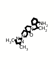 C=C(CN1CCCC2(CCN(c3nc(C)cc(C)n3)CC2)C1=O)c1ccccc1N